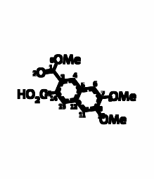 COC(=O)c1cc2cc(OC)c(OC)cc2cc1C(=O)O